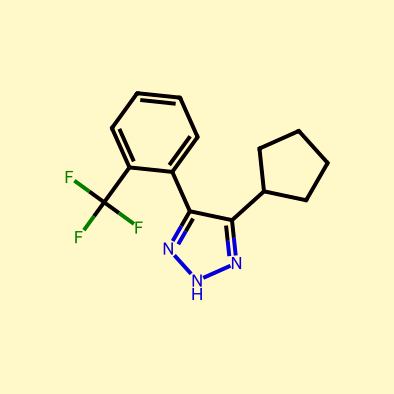 FC(F)(F)c1ccccc1-c1n[nH]nc1C1CCCC1